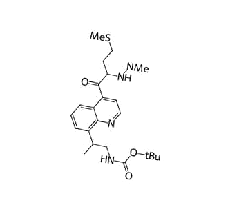 CNNC(CCSC)C(=O)c1ccnc2c(C(C)CNC(=O)OC(C)(C)C)cccc12